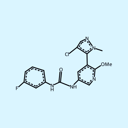 COc1ncc(NC(=O)Nc2cccc(F)c2)cc1-c1c(Cl)cnn1C